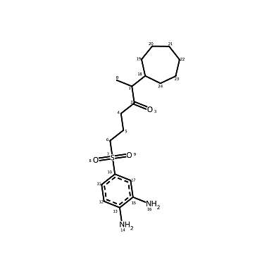 CC(C(=O)CCCS(=O)(=O)c1ccc(N)c(N)c1)C1CCCCCC1